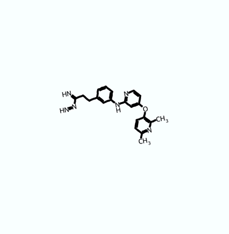 Cc1ccc(Oc2ccnc(Nc3cccc(CCC(=N)N=N)c3)c2)c(C)n1